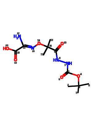 CC(C)(C)OC(=O)NNC(=O)C(C)(C)O/N=C(\N)C(=O)O